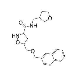 O=C(NCC1CCOC1)C1CC(COCc2ccc3ccccc3c2)ON1